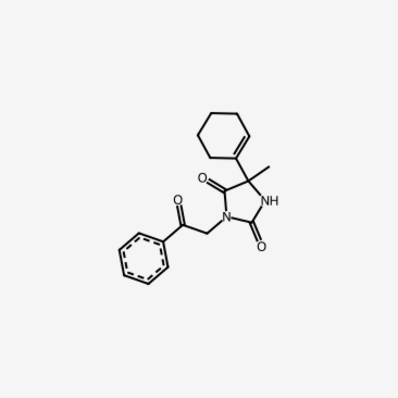 CC1(C2=CCCCC2)NC(=O)N(CC(=O)c2ccccc2)C1=O